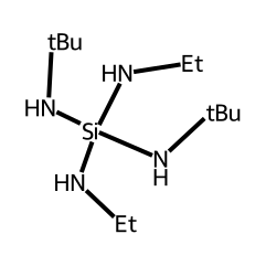 CCN[Si](NCC)(NC(C)(C)C)NC(C)(C)C